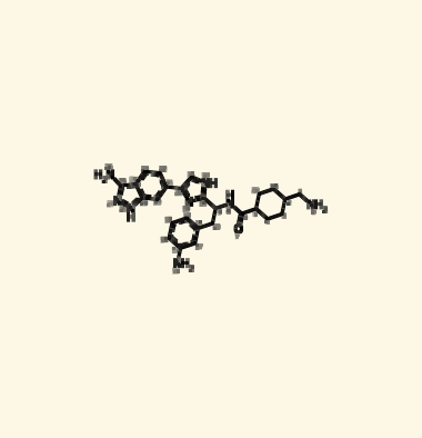 NCC1CCC(C(=O)NC(Cc2cccc(N)c2)c2nc(-c3ccc4c(N)n[nH]c4c3)c[nH]2)CC1